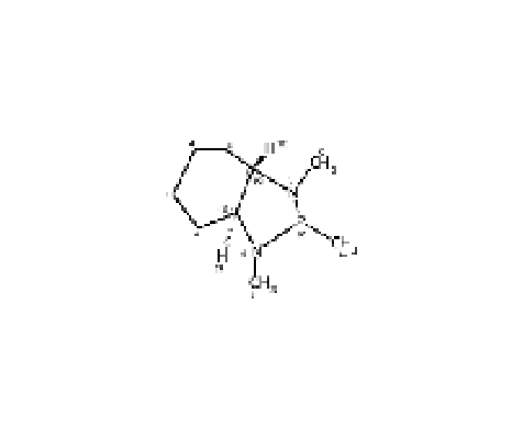 CN1[C@H]2CCCC[C@@H]2N(C)P1C